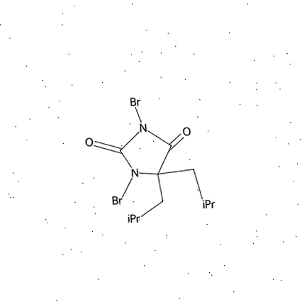 CC(C)CC1(CC(C)C)C(=O)N(Br)C(=O)N1Br